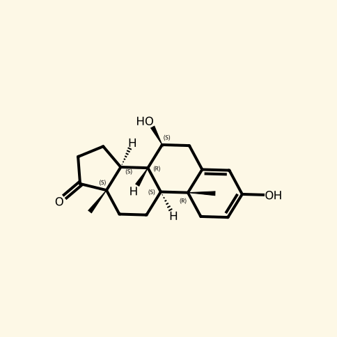 C[C@]12CC=C(O)C=C1C[C@H](O)[C@@H]1[C@@H]2CC[C@]2(C)C(=O)CC[C@@H]12